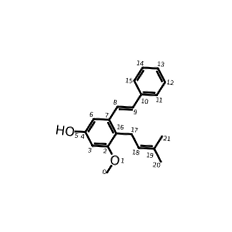 COc1cc(O)cc(/C=C/c2ccccc2)c1CC=C(C)C